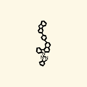 c1ccc2c(c1)Cc1ccc(-c3ccc(-c4ccc5ccc6c(c5c4)c4ccccc4n6-c4ncc5ccccc5n4)cc3)cc1-2